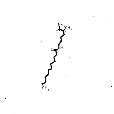 CCCCCCCCCCCC(=O)NCCCC[C@H](C)C(N)=O